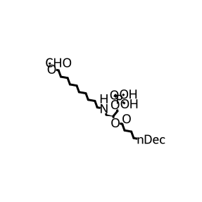 CCCCCCCCCCCCCC(=O)O[C@@H](CNCCCCCCCCCCOC=O)COP(=O)(O)O